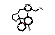 CCc1nnc2n1-c1ccc(Br)cc1C1(c3ccccn3)OCCN1C2